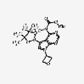 CC(C)(C)OC(=O)N(C(=O)O)c1ncnc2c1c(B1OC(C)(C)C(C)(C)O1)cn2C1COC1